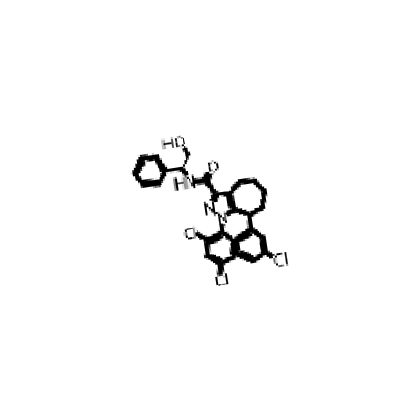 O=C(N[C@H](CO)c1ccccc1)c1nn(-c2ccc(Cl)cc2Cl)c2c1CCCCC2c1cccc(Cl)c1